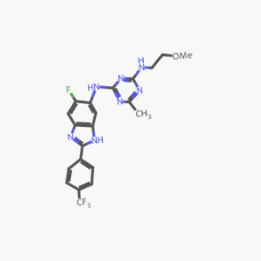 COCCNc1nc(C)nc(Nc2cc3[nH]c(-c4ccc(C(F)(F)F)cc4)nc3cc2F)n1